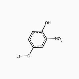 CCOc1ccc(O)c([N+](=O)[O-])c1